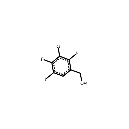 OCc1cc(I)c(F)c(Cl)c1F